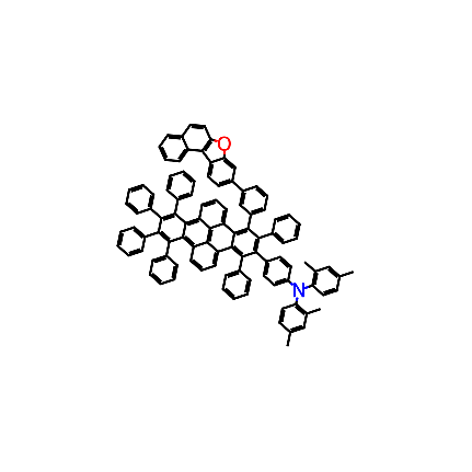 Cc1ccc(N(c2ccc(-c3c(-c4ccccc4)c(-c4cccc(-c5ccc6c(c5)oc5ccc7ccccc7c56)c4)c4c5cccc6c7c(-c8ccccc8)c(-c8ccccc8)c(-c8ccccc8)c(-c8ccccc8)c7c7cccc(c4c3-c3ccccc3)c7c65)cc2)c2ccc(C)cc2C)c(C)c1